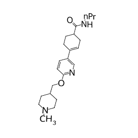 CCCNC(=O)C1CC=C(c2ccc(OCC3CCN(C)CC3)nc2)CC1